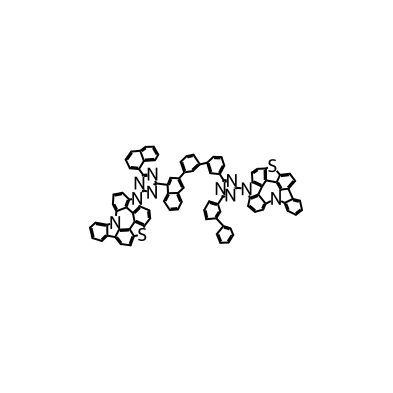 c1ccc(-c2cccc(-c3nc(-c4cccc(-c5cccc(-c6cc(-c7nc(-c8cccc9ccccc89)nc(-n8c9ccc%10sc%11ccc%12c%13ccccc%13n%13c%14cccc8c%14c9c%10c%11c%12%13)n7)c7ccccc7c6)c5)c4)nc(-n4c5ccc6sc7ccc8c9ccccc9n9c%10cccc4c%10c5c6c7c89)n3)c2)cc1